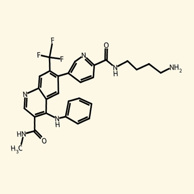 CNC(=O)c1cnc2cc(C(F)(F)F)c(-c3ccc(C(=O)NCCCCN)nc3)cc2c1Nc1ccccc1